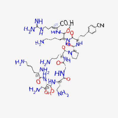 N#Cc1ccc(CC[C@H](NC(=O)[C@@H]2CCCN2C(=O)[C@@H](CCCN)NC(=O)CNC(=O)[C@H](CCN)NC(=O)[C@@H](NC(=O)[C@@H](N)CCCCN)[C@@H](O)CN)C(=O)N[C@@H](CCCCN)C(=O)N/C(=C\CCNC(=N)N)C(=O)O)cc1